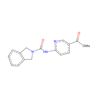 COC(=O)c1ccc(NC(=O)N2Cc3ccccc3C2)nc1